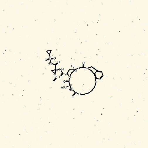 C=C[C@@H]1C[C@]1(NC(=O)[C@@H]1C[C@@H]2CN1C(=O)[C@H](CCCC)NC(=O)OCCCCCc1cccc3c1CN(C3)C(=O)O2)C(=O)NS(=O)(=O)C1CC1